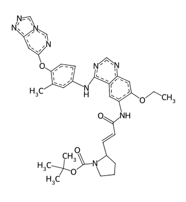 CCOc1cc2ncnc(Nc3ccc(Oc4cc5nncn5cn4)c(C)c3)c2cc1NC(=O)C=CC1CCCN1C(=O)OC(C)(C)C